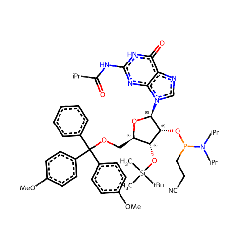 COc1ccc(C(OC[C@H]2O[C@@H](n3cnc4c(=O)[nH]c(NC(=O)C(C)C)nc43)[C@H](OP(CCC#N)N(C(C)C)C(C)C)[C@@H]2O[Si](C)(C)C(C)(C)C)(c2ccccc2)c2ccc(OC)cc2)cc1